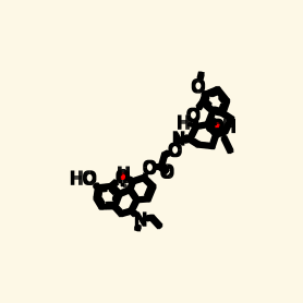 CCN(C)C1Cc2ccc(O)c3c2[C@]2(C)C1C=C[C@H](OC(=O)CO/N=C1\CC[C@@]4(O)C5Cc6ccc(OC)c7c6[C@@]4(CCN5C)[C@H]1O7)[C@@H]2O3